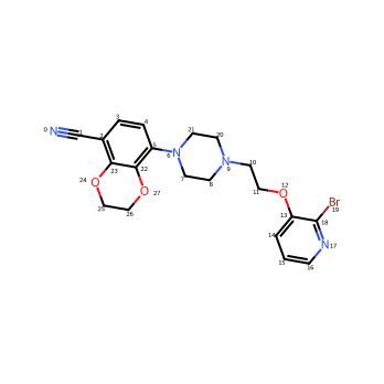 N#Cc1ccc(N2CCN(CCOc3cccnc3Br)CC2)c2c1OCCO2